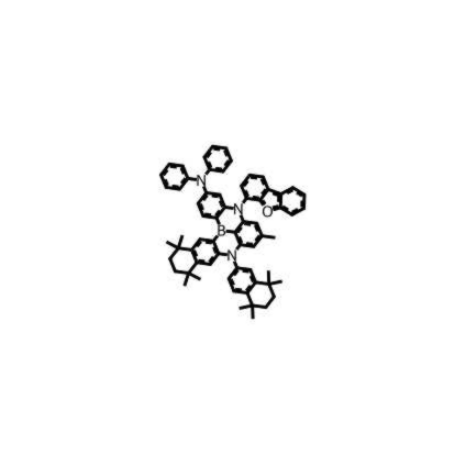 Cc1cc2c3c(c1)N(c1cccc4c1oc1ccccc14)c1cc(N(c4ccccc4)c4ccccc4)ccc1B3c1cc3c(cc1N2c1ccc2c(c1)C(C)(C)CCC2(C)C)C(C)(C)CCC3(C)C